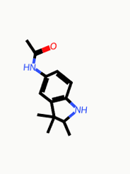 CC(=O)Nc1ccc2c(c1)C(C)(C)C(C)N2